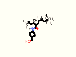 CC(CCC(C(=O)Nc1ccc(CO)cc1)C(C)CC(C)(C)C)CC(C)(C)C